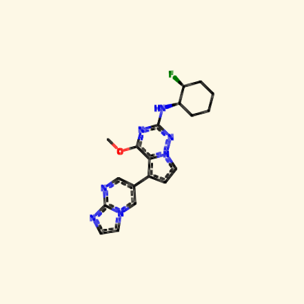 COc1nc(N[C@@H]2CCCC[C@@H]2F)nn2ccc(-c3cnc4nccn4c3)c12